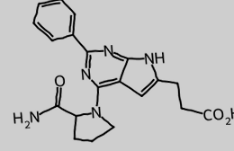 NC(=O)C1CCCN1c1nc(-c2ccccc2)nc2[nH]c(CCC(=O)O)cc12